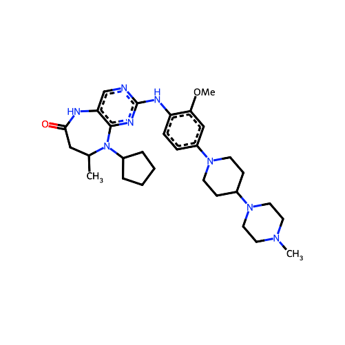 COc1cc(N2CCC(N3CCN(C)CC3)CC2)ccc1Nc1ncc2c(n1)N(C1CCCC1)C(C)CC(=O)N2